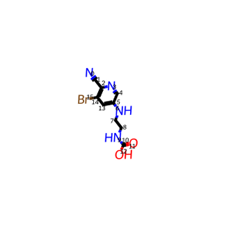 N#Cc1ncc(NCCNC(=O)O)cc1Br